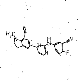 CN1CCc2cc(-c3ccnc(Nc4ccc(F)c(C#N)c4)n3)cc(C#N)c21